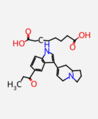 CCC(=O)c1ccc2[nH]cc(C3=CCN4CCCC4C3)c2c1.O=C(O)CCCCCCC(=O)O